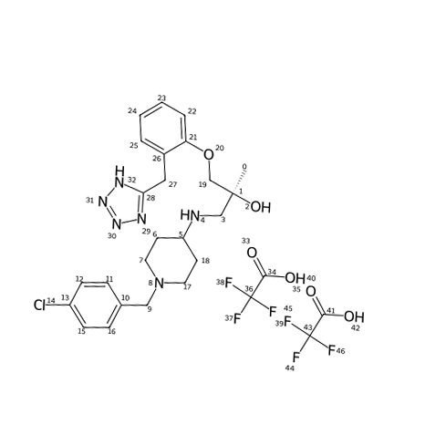 C[C@](O)(CNC1CCN(Cc2ccc(Cl)cc2)CC1)COc1ccccc1Cc1nnn[nH]1.O=C(O)C(F)(F)F.O=C(O)C(F)(F)F